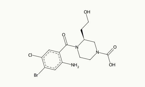 Nc1cc(Br)c(Cl)cc1C(=O)N1CCN(C(=O)O)C[C@@H]1CCO